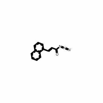 [N-]=[N+]=NC(=O)/C=C/c1cccc2ccccc12